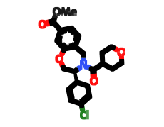 COC(=O)c1ccc2c(c1)OC[C@H](C1C=CC(Cl)=CC1)N(C(=O)C1CCOCC1)C2